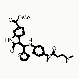 COC(=O)c1ccc2c(c1)NC(=O)C2=C(Nc1ccc(N(C)C(=O)CCN(C)C)cc1)c1cccs1